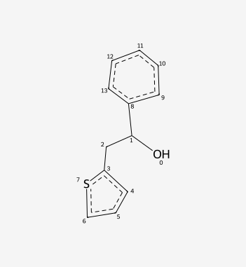 OC(Cc1cccs1)c1ccccc1